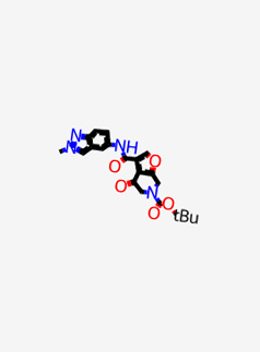 Cn1cc2cc(NC(=O)c3coc4c3C(=O)CN(C(=O)OC(C)(C)C)C4)ccc2n1